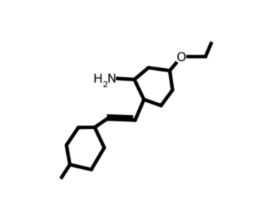 CCOC1CCC(C=CC2CCC(C)CC2)C(N)C1